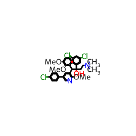 COc1cccc(C(c2cc(-c3ccc(Cl)cc3)cnc2OC)C(O)(CCN(C)C)c2cc(Cl)cc(Cl)c2)c1OC